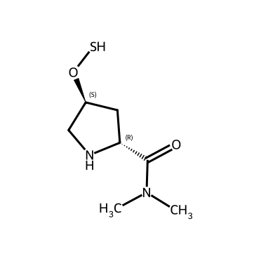 CN(C)C(=O)[C@H]1C[C@H](OS)CN1